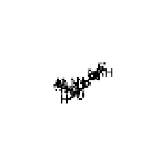 CCCN(OCCNC(=O)OC(C)C)C(=O)C1=Cc2ccc(-c3cnc(CNC(C)=O)nc3)cc2N=C(N)C1